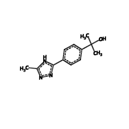 Cc1nnc(-c2ccc(C(C)(C)O)cc2)[nH]1